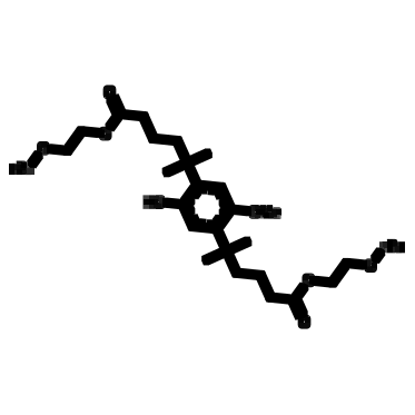 CCCCOCCOC(=O)CCCC(C)(C)c1cc(OC)c(C(C)(C)CCCC(=O)OCCOCCCC)cc1O